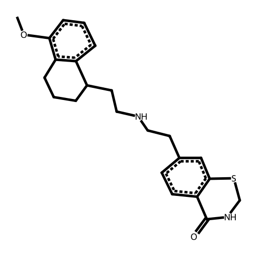 COc1cccc2c1CCCC2CCNCCc1ccc2c(c1)SCNC2=O